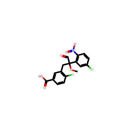 COC(C=O)(Cc1cc(C(=O)O)ccc1Cl)c1cc(Cl)ccc1[N+](=O)[O-]